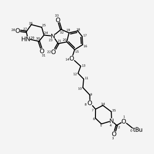 CC(C)(C)OC(=O)N1CCC(OCCCCCOc2cccc3c2C(=O)N(C2CCC(=O)NC2=O)C3=O)CC1